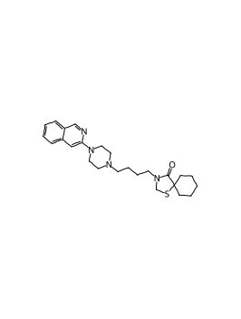 O=C1N(CCCCN2CCN(c3cc4ccccc4cn3)CC2)CSC12CCCCC2